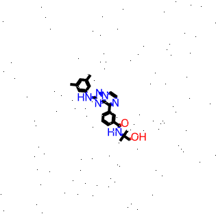 Cc1cc(C)cc(Nc2nc3c(-c4cccc(C(=O)NC(C)(C)CO)c4)nccn3n2)c1